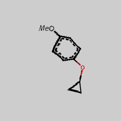 COc1ccc(OC2CC2)cc1